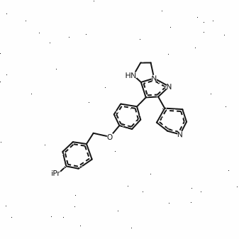 CC(C)c1ccc(COc2ccc(-c3c(-c4ccncc4)nn4c3NCC4)cc2)cc1